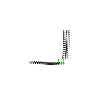 Cl.Cl.Cl.Cl.[Ca+2].[Ca+2].[Ca+2].[Ca+2].[Ca+2].[Ca+2].[Ca+2].[Ca+2].[Ca+2].[Ca+2].[Ca+2].[Ca+2].[Ca+2].[Ca+2].[Ca+2].[Ca+2].[Ca+2].[Ca+2].[Ca+2].[Ca+2].[Ca+2].[Ca+2].[Ca+2].[Ca+2].[Ca+2].[Ca+2].[Ca+2].[Ca+2].[Ca+2].[Ca+2].[Ca+2]